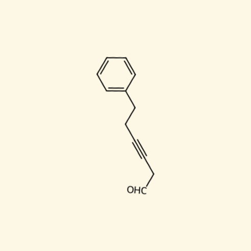 O=CCC#CCCc1ccccc1